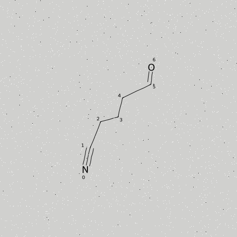 N#CCCC[C]=O